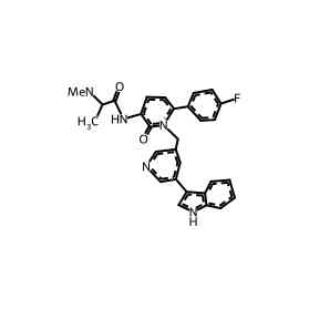 CNC(C)C(=O)Nc1ccc(-c2ccc(F)cc2)n(Cc2cncc(-c3c[nH]c4ccccc34)c2)c1=O